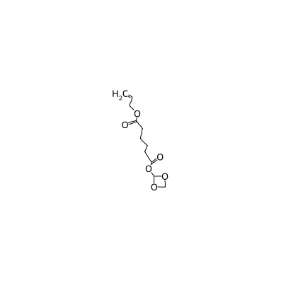 C=CCOC(=O)CCCCC(=O)OC1OCO1